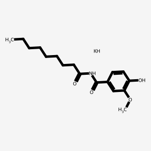 CCCCCCCCC(=O)NC(=O)c1ccc(O)c(OC)c1.[KH]